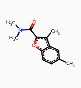 Cc1ccc2oc(C(=O)N(C)C)c(C)c2c1